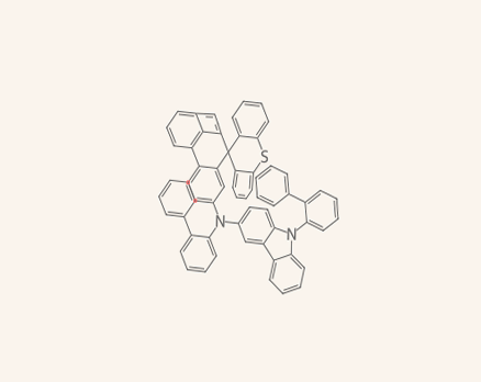 c1ccc(-c2ccccc2N(c2ccc3c(c2)C2(c4ccccc4Sc4ccccc42)c2cccc4cccc-3c24)c2ccc3c(c2)c2ccccc2n3-c2ccccc2-c2ccccc2)cc1